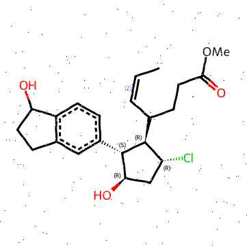 C/C=C\C(CCC(=O)OC)[C@@H]1[C@@H](c2ccc3c(c2)CCC3O)[C@H](O)C[C@H]1Cl